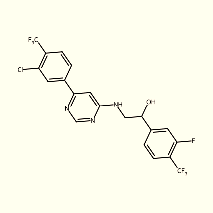 OC(CNc1cc(-c2ccc(C(F)(F)F)c(Cl)c2)ncn1)c1ccc(C(F)(F)F)c(F)c1